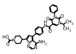 CC(C)n1cc(C(=O)Nc2ccc(-c3cc(C4CCN(C(=O)O)CC4)n4ncnc(N)c34)cc2)c(=O)n(-c2ccccc2)c1=O